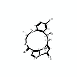 C[C@H]1COC(=O)c2cnn3c(=O)cc([nH]c23)N[C@H](C)c2cc(F)ccc2O1